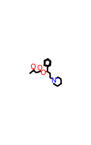 CC(=O)CC(=O)OC(CCN1CCCCC1)c1ccccc1